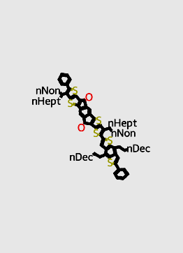 CCCCCCCCCCCCc1c2cc(-c3sc4c(sc5c6cc7c(=O)c8c9sc(-c%10ccccc%10)c(C(CCCCCCC)CCCCCCCCC)c9sc8c7cc6c(=O)c45)c3C(CCCCCCC)CCCCCCCCC)sc2c(CCCCCCCCCCCC)c2cc(-c3ccccc3)sc12